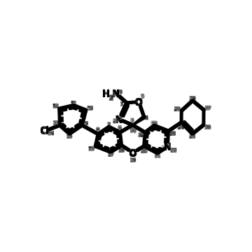 NC1=N[C@@]2(CO1)c1cc(-c3cccc(Cl)c3)ccc1Oc1cnc(C3=CCCCC3)cc12